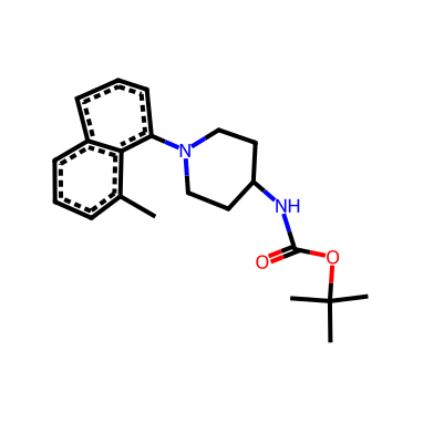 Cc1cccc2cccc(N3CCC(NC(=O)OC(C)(C)C)CC3)c12